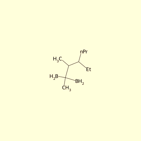 BC(B)(C)C(C)C(CC)CCC